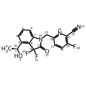 C[C@H](O)c1cccc2c1C(F)(F)C(=O)N2Cc1ccc(F)c(C#N)n1